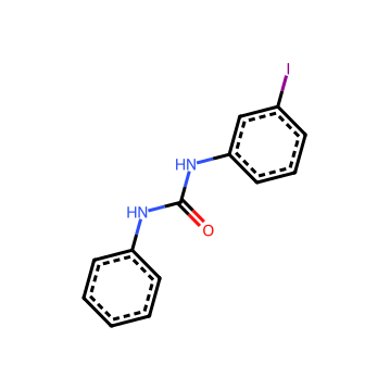 O=C(Nc1ccccc1)Nc1cccc(I)c1